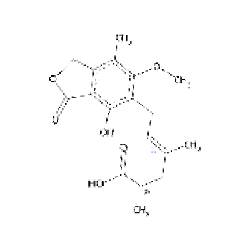 COc1c(C)c2c(c(O)c1C/C=C(\C)C[C@H](C)C(=O)O)C(=O)OC2